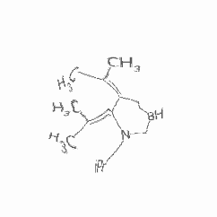 CC(C)=C1CBCN(C(C)C)C1=C(C)C